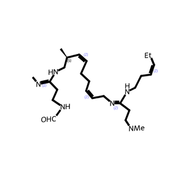 CC/C=C\CCN/C(CCNC)=N\C/C=C\CC/C=C\[C@H](C)CN/C(CCNC=O)=N\C